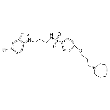 O=S(=O)(NCCCn1ccc2cc(Cl)ccc21)c1ccc(OCCCN2CCCCCC2)cc1